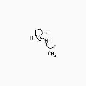 CC(F)CNC1C[C@H]2CC[C@@H]1N2